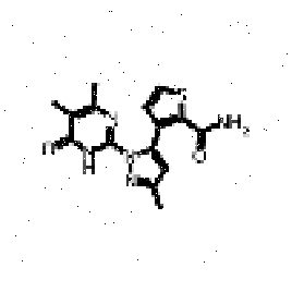 Cc1cc(-c2ccsc2C(N)=O)n(-c2nc(C)c(C)c(=O)[nH]2)n1